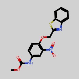 COC(=O)Nc1ccc(OCc2nc3ccccc3s2)c([N+](=O)[O-])c1